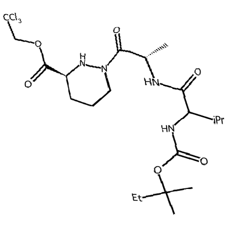 CCC(C)(C)OC(=O)NC(C(=O)N[C@@H](C)C(=O)N1CCC[C@@H](C(=O)OCC(Cl)(Cl)Cl)N1)C(C)C